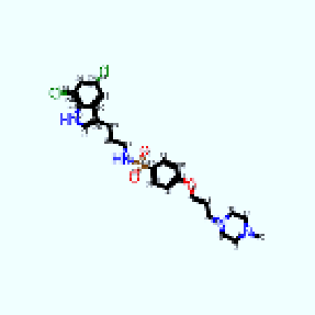 CN1CCN(CCCOc2ccc(S(=O)(=O)NCCCc3c[nH]c4c(Cl)cc(Cl)cc34)cc2)CC1